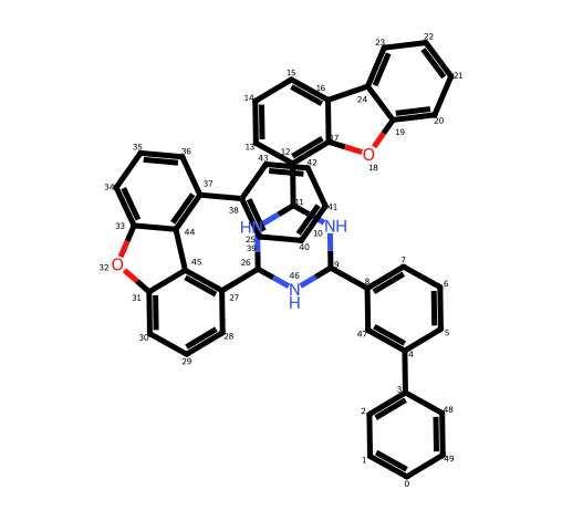 c1ccc(-c2cccc(C3NC(c4cccc5c4oc4ccccc45)NC(c4cccc5oc6cccc(-c7ccccc7)c6c45)N3)c2)cc1